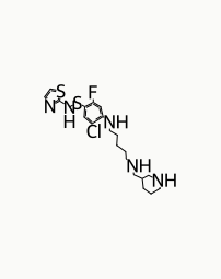 Fc1cc(NCCCCCNCC2CCCNC2)c(Cl)cc1SNc1nccs1